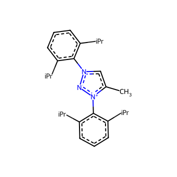 Cc1cn(-c2c(C(C)C)cccc2C(C)C)n[n+]1-c1c(C(C)C)cccc1C(C)C